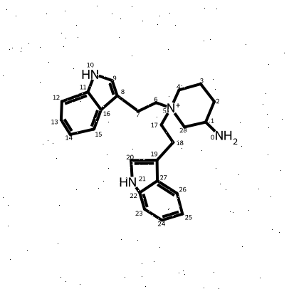 NC1CCC[N+](CCc2c[nH]c3ccccc23)(CCc2c[nH]c3ccccc23)C1